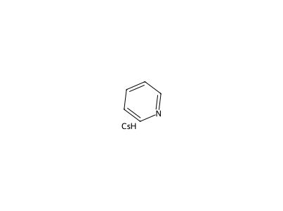 [CsH].c1ccncc1